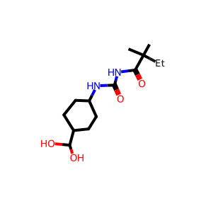 CCC(C)(C)C(=O)NC(=O)NC1CCC(C(O)O)CC1